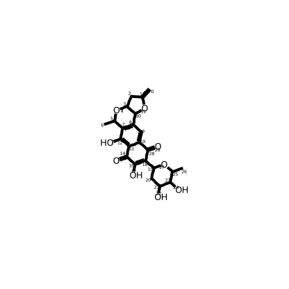 C=C1CC2OC(C)c3c(cc4c(c3O)C(=O)C(O)=C(C3CC(O)C(O)C(C)O3)C4=O)C2O1